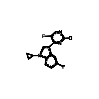 Fc1ccc2c(c1)c(-c1nc(Cl)ncc1F)cn2C1CC1